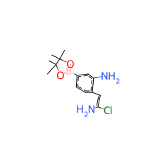 CC1(C)OB(c2ccc(/C=C(\N)Cl)c(N)c2)OC1(C)C